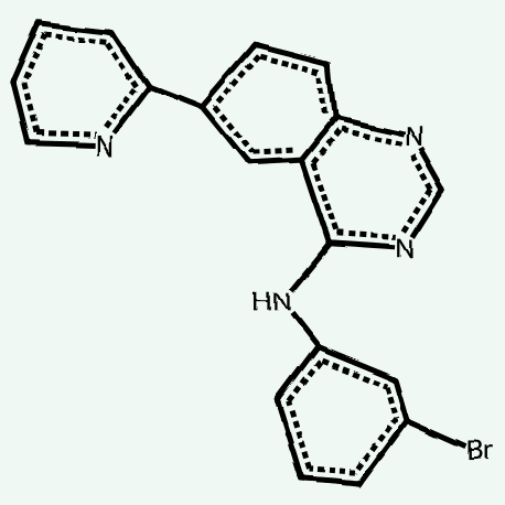 Brc1cccc(Nc2ncnc3ccc(-c4ccccn4)cc23)c1